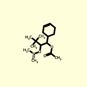 CC(=O)OC(C1CC=CCC1)C(O[SiH](C)C)C(C)(C)C